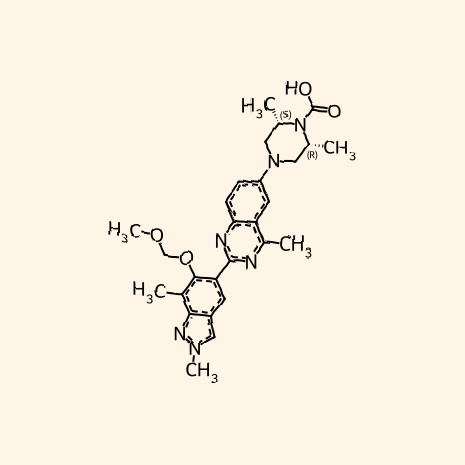 COCOc1c(-c2nc(C)c3cc(N4C[C@@H](C)N(C(=O)O)[C@@H](C)C4)ccc3n2)cc2cn(C)nc2c1C